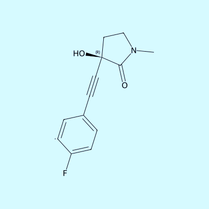 CN1CC[C@@](O)(C#Cc2c[c]c(F)cc2)C1=O